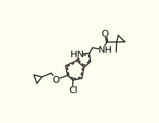 CC1(C(=O)NCc2cc3cc(Cl)c(OCC4CC4)cc3[nH]2)CC1